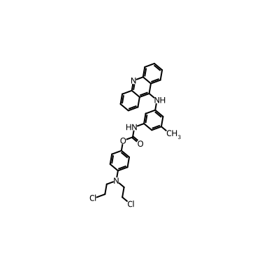 Cc1cc(NC(=O)Oc2ccc(N(CCCl)CCCl)cc2)cc(Nc2c3ccccc3nc3ccccc23)c1